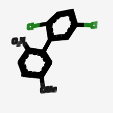 COc1[c]cc([N+](=O)[O-])c(-c2cc(Cl)ccc2Cl)c1